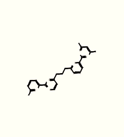 Cc1cccc(-c2nccc(CCCc3cccc(-c4nc(C)cc(C)n4)n3)n2)n1